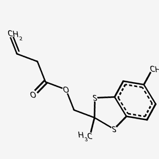 C=CCC(=O)OCC1(C)Sc2ccc(C)cc2S1